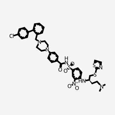 CN(C)CC[C@H](CSc1nccs1)Nc1ccc(S(=O)(=O)NC(=O)c2ccc(N3CCN(Cc4ccccc4-c4ccc(Cl)cc4)CC3)cc2)cc1[N+](=O)[O-]